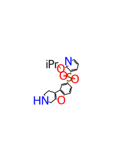 CC(C)Oc1ncccc1S(=O)(=O)c1ccc2oc3c(c2c1)CCNC3